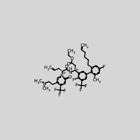 C=CCCCCc1cc(F)cc(C)c1-c1cc([C@H](CC(=O)OCC)NC(=O)[C@H](CC=C)n2cc(CCN(C)C)c(C(F)(F)F)cc2=O)c(F)c(C(F)(F)F)c1